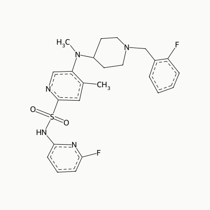 Cc1cc(S(=O)(=O)Nc2cccc(F)n2)ncc1N(C)C1CCN(Cc2ccccc2F)CC1